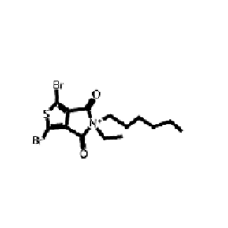 CCCCCC[N+]1(CC)C(=O)c2c(Br)sc(Br)c2C1=O